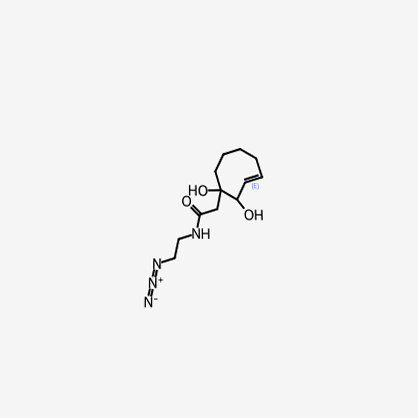 [N-]=[N+]=NCCNC(=O)CC1(O)CCCC/C=C/C1O